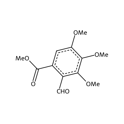 COC(=O)c1cc(OC)c(OC)c(OC)c1C=O